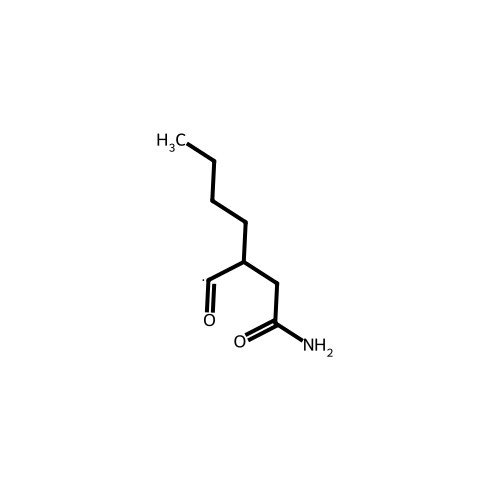 CCCCC([C]=O)CC(N)=O